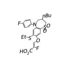 CCCC[C@@H]1CN(c2ccc(F)cc2)c2cc(SCC)c(O/C=C(\F)C(=O)O)cc2S(=O)(=O)C1